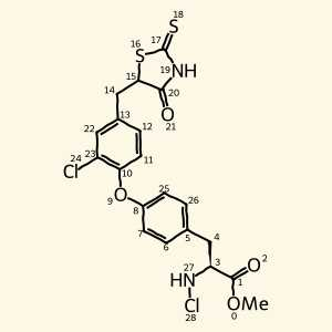 COC(=O)[C@H](Cc1ccc(Oc2ccc(CC3SC(=S)NC3=O)cc2Cl)cc1)NCl